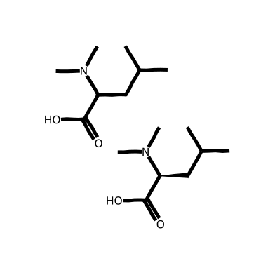 CC(C)CC(C(=O)O)N(C)C.CC(C)C[C@@H](C(=O)O)N(C)C